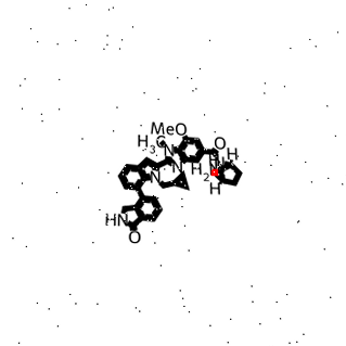 COc1cc(C(=O)N2C[C@H]3CC[C@@H]2[C@@H]3N)cc2nc(-c3cc4cccc(-c5cccc6c5CNC6=O)c4n3CC3CC3)n(C)c12